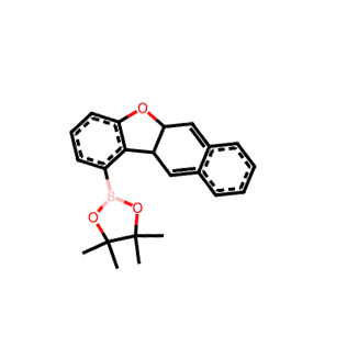 CC1(C)OB(c2cccc3c2C2C=c4ccccc4=CC2O3)OC1(C)C